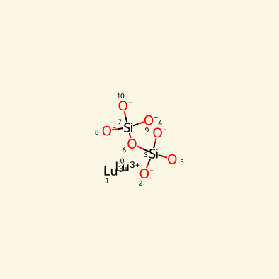 [Lu+3].[Lu+3].[O-][Si]([O-])([O-])O[Si]([O-])([O-])[O-]